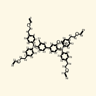 C=COCCc1ccc(N(c2ccc(CCOC=C)cc2)c2ccc(-c3ccc(N(c4ccc(CCOC=C)cc4)c4ccc(CCOC=C)cc4)c(OC)c3)cc2C)cc1